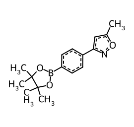 Cc1cc(-c2ccc(B3OC(C)(C)C(C)(C)O3)cc2)no1